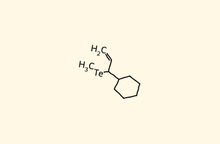 C=CC([Te]C)C1CCCCC1